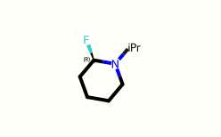 CC(C)N1CCCC[C@H]1F